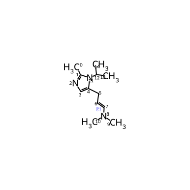 Cc1ncc(C/C=C/N(C)C)n1C(C)C